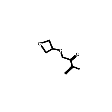 C=C(C)C(=O)COC1COC1